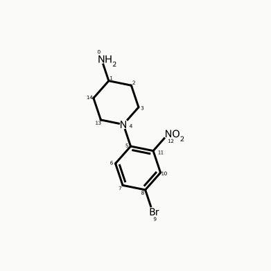 NC1CCN(c2ccc(Br)cc2[N+](=O)[O-])CC1